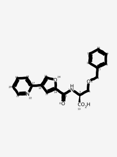 O=C(N[C@@H](COCc1ccccc1)C(=O)O)c1cc(-c2ccccn2)co1